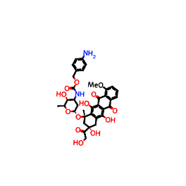 COc1cccc2c1C(=O)c1c(O)c3c(c(O)c1C2=O)C[C@@](O)(C(=O)CO)C[C@]3(C)O[C@H]1CC(NC(=O)OCc2ccc(N)cc2)[C@H](O)[C@H](C)O1